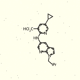 CC(C)Cn1ccc2cc(Nc3ncc(C4CC4)cc3C(=O)O)cnc21